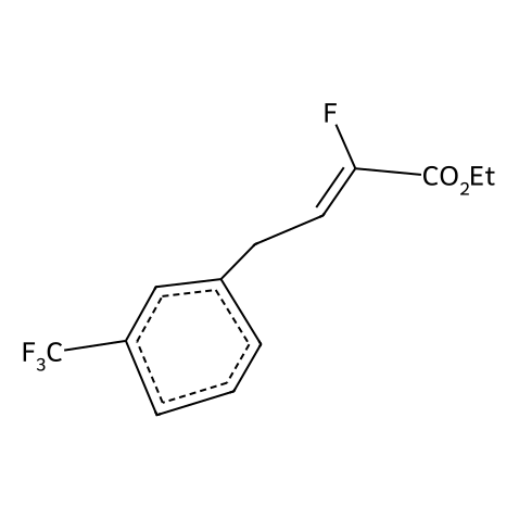 CCOC(=O)C(F)=CCc1cccc(C(F)(F)F)c1